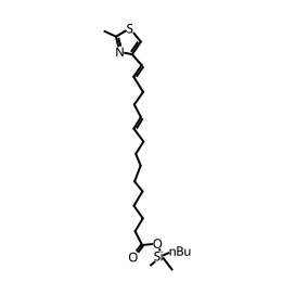 CCCC[Si](C)(C)OC(=O)CCCCCCCCC=CCCC=Cc1csc(C)n1